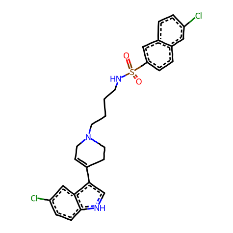 O=S(=O)(NCCCCN1CC=C(c2c[nH]c3ccc(Cl)cc23)CC1)c1ccc2cc(Cl)ccc2c1